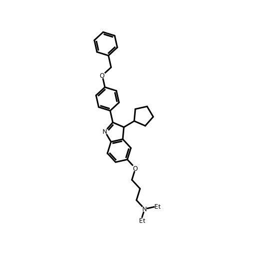 CCN(CC)CCCOc1ccc2c(c1)C(C1CCCC1)C(c1ccc(OCc3ccccc3)cc1)=N2